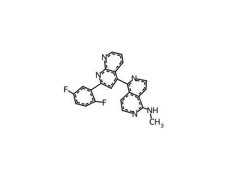 CNc1nccc2c(-c3cc(-c4cc(F)ccc4F)nc4ncccc34)nccc12